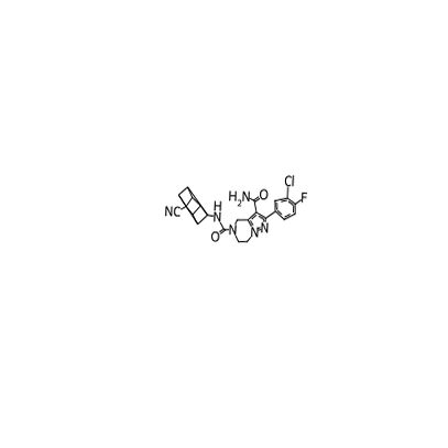 N#CC12C3C4C1C1C2C3C41NC(=O)N1CCn2nc(-c3ccc(F)c(Cl)c3)c(C(N)=O)c2C1